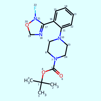 CC(C)(C)OC(=O)N1CCN(c2ccccc2C2=NCON2F)CC1